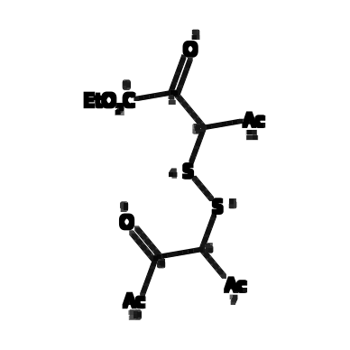 CCOC(=O)C(=O)C(SSC(C(C)=O)C(=O)C(C)=O)C(C)=O